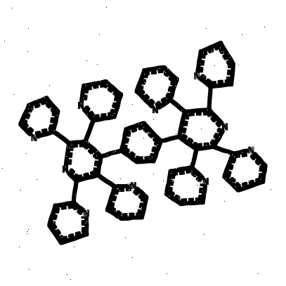 c1ccc(-c2nc(-c3ccccn3)c(-c3ccccn3)c(-c3ccc(-c4c(-c5ccccn5)c(-c5ccccn5)nc(-c5ccccn5)c4-c4ccccn4)cc3)c2-c2ccccn2)nc1